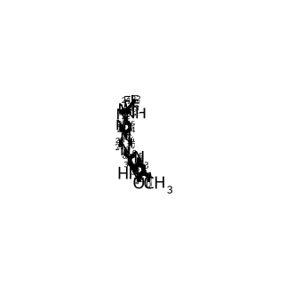 CCc1cc2ncc(CN3CCN(c4ccc(-c5nnc(C(F)(F)F)[nH]5)nc4)CC3)cc2[nH]c1=O